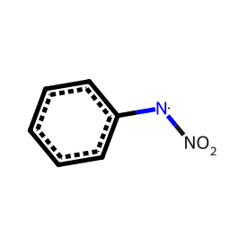 O=[N+]([O-])[N]c1ccccc1